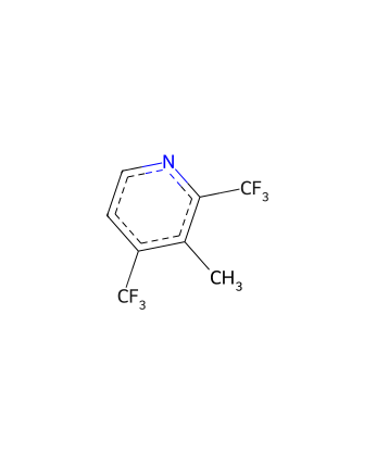 Cc1c(C(F)(F)F)ccnc1C(F)(F)F